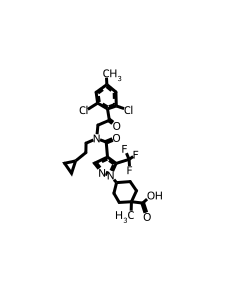 Cc1cc(Cl)c(C(=O)CN(CCC2CC2)C(=O)c2cnn(C3CCC(C)(C(=O)O)CC3)c2C(F)(F)F)c(Cl)c1